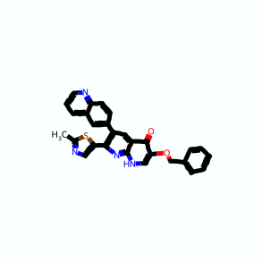 Cc1ncc(-c2nc3[nH]cc(OCc4ccccc4)c(=O)c3cc2-c2ccc3ncccc3c2)s1